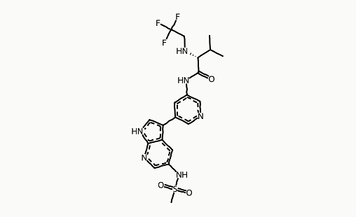 CC(C)[C@@H](NCC(F)(F)F)C(=O)Nc1cncc(-c2c[nH]c3ncc(NS(C)(=O)=O)cc23)c1